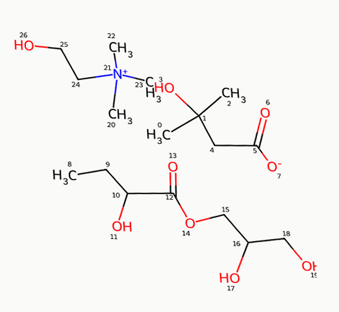 CC(C)(O)CC(=O)[O-].CCC(O)C(=O)OCC(O)CO.C[N+](C)(C)CCO